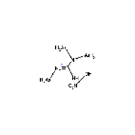 N/C(=N\[AsH2])N([AsH2])[AsH2].O=[N+]([O-])O